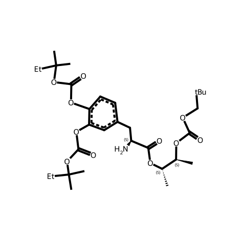 CCC(C)(C)OC(=O)Oc1ccc(C[C@H](N)C(=O)O[C@@H](C)[C@H](C)OC(=O)OCC(C)(C)C)cc1OC(=O)OC(C)(C)CC